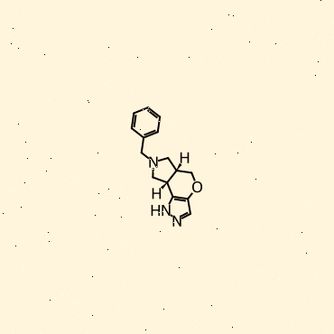 c1ccc(CN2C[C@@H]3COc4cn[nH]c4[C@@H]3C2)cc1